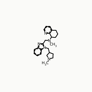 CN1CCC(Cn2c(CN(C)C3CCCc4cccnc43)nc3ccccc32)C1